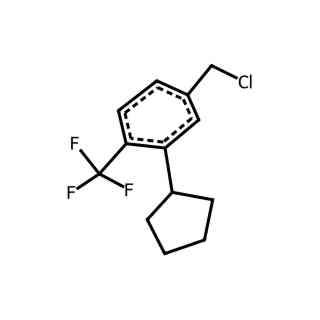 FC(F)(F)c1ccc(CCl)cc1C1CCCC1